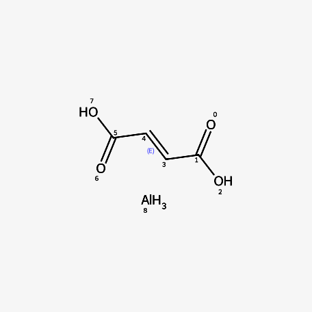 O=C(O)/C=C/C(=O)O.[AlH3]